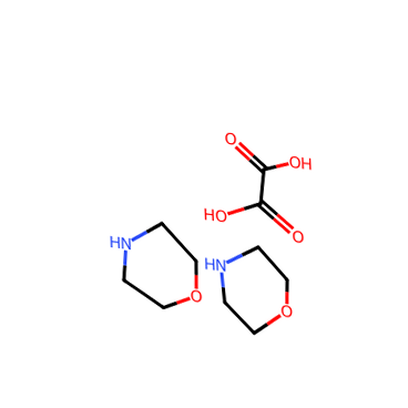 C1COCCN1.C1COCCN1.O=C(O)C(=O)O